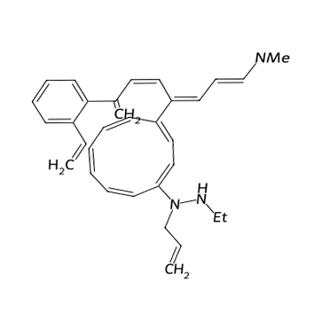 C=CCN(NCC)c1ccccccc(C(/C=C\C(=C)c2ccccc2C=C)=C/C=C/NC)cc1